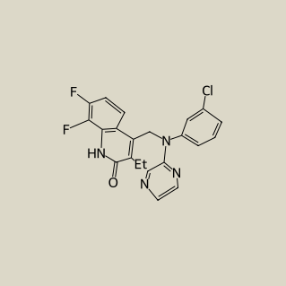 CCc1c(CN(c2cccc(Cl)c2)c2cnccn2)c2ccc(F)c(F)c2[nH]c1=O